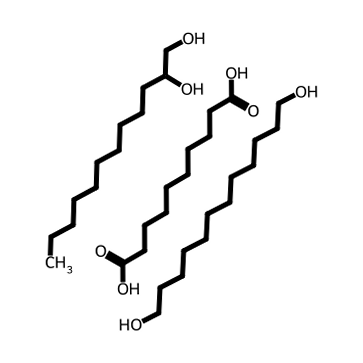 CCCCCCCCCCC(O)CO.O=C(O)CCCCCCCCC(=O)O.OCCCCCCCCCCCCO